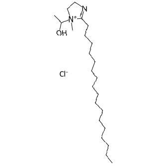 CCCCCCCCCCCCCCCCCC1=NCC[N+]1(C)C(C)O.[Cl-]